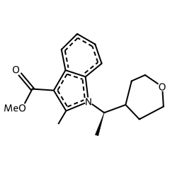 COC(=O)c1c(C)n([C@H](C)C2CCOCC2)c2ccccc12